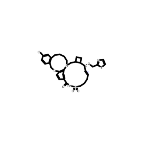 O=C1NS(=O)(=O)CCC/C=C/[C@@H](OCc2nccs2)C2CCC2CN2CCCCc3cc(Cl)ccc3COc3ccc1cc32